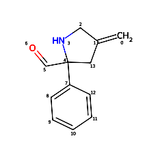 C=C1CNC(C=O)(c2ccccc2)C1